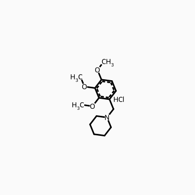 COc1ccc(CN2CCCCC2)c(OC)c1OC.Cl